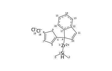 C[SiH](C)[Zr+2][C]1(C2=CC=CC2)C=Cc2ccccc21.[Cl-].[Cl-]